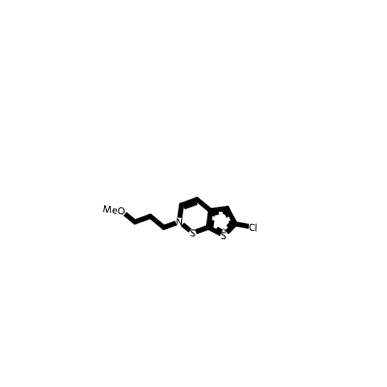 COCCCN1C=Cc2cc(Cl)sc2S1